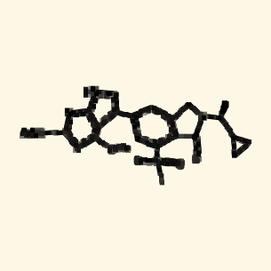 COc1nc(NC(C)=O)nc2[nH]cc(-c3cc4c(c(S(C)(=O)=O)c3)C(=O)N([C@@H](C)C3CC3)C4)c12